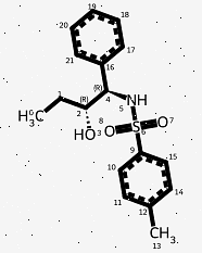 CC[C@@H](O)[C@H](NS(=O)(=O)c1ccc(C)cc1)c1ccccc1